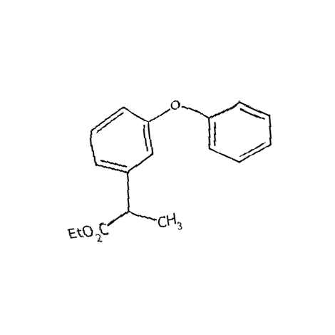 CCOC(=O)C(C)c1cccc(Oc2ccccc2)c1